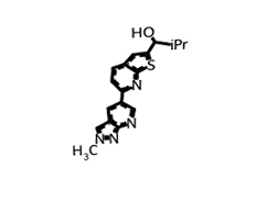 CC(C)C(O)c1cc2ccc(-c3cnc4nn(C)cc4c3)nc2s1